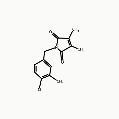 CC1=C(C)C(=O)N(Cc2ccc(Cl)c(C)c2)C1=O